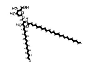 CCCCCCCCCCCCCCCCCCCCCCCC(=O)N[C@@H](COC1CC(O)C(O)C(CO)O1)[C@H](O)CCCCCCCCCCCCCCC